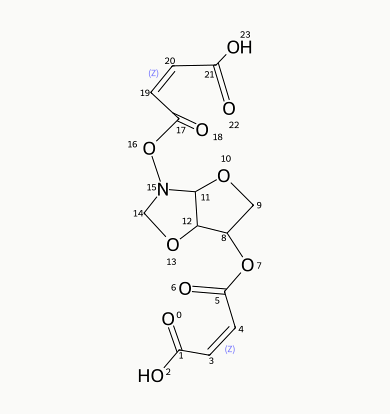 O=C(O)/C=C\C(=O)OC1COC2C1OCN2OC(=O)/C=C\C(=O)O